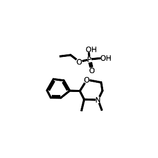 CC1C(c2ccccc2)OCCN1C.CCOP(=O)(O)O